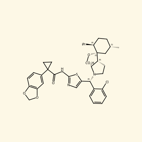 CC(C)[C@H]1CC[C@H](C)C[C@@]1(OC(=O)O)[C@@H]1CCN([C@@H](c2cnc(NC(=O)C3(c4ccc5c(c4)OCO5)CC3)s2)c2ccccc2Cl)C1